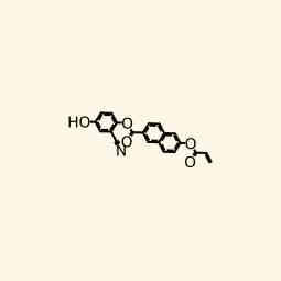 C=CC(=O)Oc1ccc2cc(C(=O)Oc3ccc(O)cc3C#N)ccc2c1